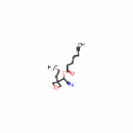 C#CCCCCC(=O)OC(C#N)C1(CCC)COC1